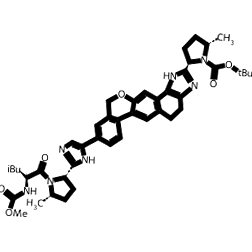 CC[C@H](C)[C@H](NC(=O)OC)C(=O)N1[C@@H](C)CC[C@H]1c1ncc(-c2ccc3c(c2)COc2cc4c(cc2-3)CCc2nc([C@@H]3CC[C@H](C)N3C(=O)OC(C)(C)C)[nH]c2-4)[nH]1